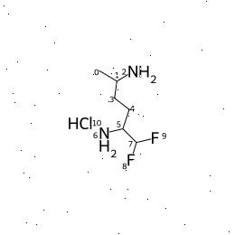 CC(N)CCC(N)C(F)F.Cl